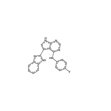 Fc1ccc(Nc2ncnc3[nH]cc(-c4nc5ccccc5[nH]4)c23)cc1